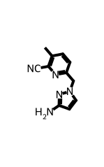 Cc1ccc(Cn2ccc(N)n2)nc1C#N